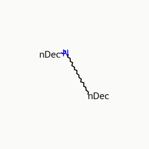 CCCCCCCCCCCCCCCCCCCCCCCCCCCCCCN(C)CCCCCCCCCCCC